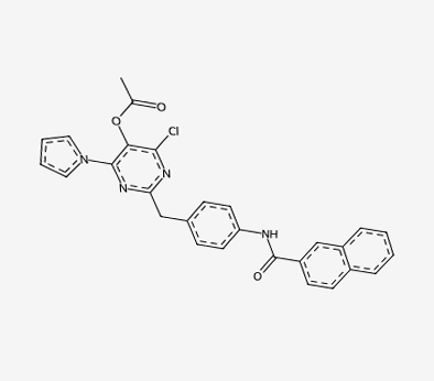 CC(=O)Oc1c(Cl)nc(Cc2ccc(NC(=O)c3ccc4ccccc4c3)cc2)nc1-n1cccc1